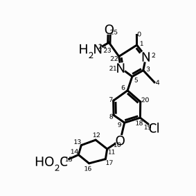 Cc1nc(C)c(-c2ccc(OC3CCC(C(=O)O)CC3)c(Cl)c2)nc1C(N)=O